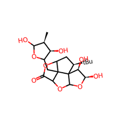 C[C@@H]1C(O)OC(CC23C4C[C@@H](C(C)(C)C)C25C(OC3C(=O)O4)O[C@H](O)[C@@H]5O)[C@@H]1O